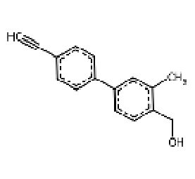 C#Cc1ccc(-c2ccc(CO)c(C)c2)cc1